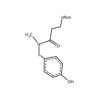 CCCCCCCCCCCC(=O)N(C)Sc1ccc(O)cc1